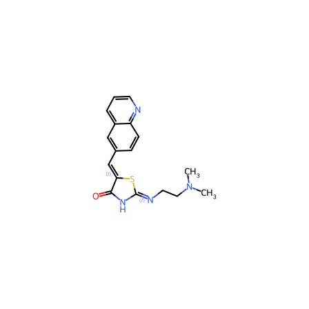 CN(C)CC/N=C1/NC(=O)/C(=C/c2ccc3ncccc3c2)S1